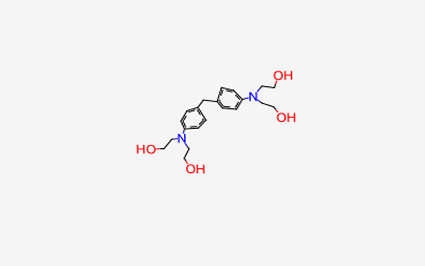 OCCN(CCO)c1ccc(Cc2ccc(N(CCO)CCO)cc2)cc1